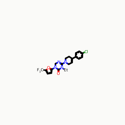 CCN1C(=O)N(c2ccc(C(F)(F)F)o2)CN=C1N1CC=C(c2ccc(Cl)cc2)CC1